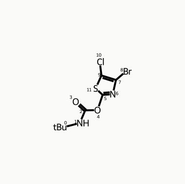 CC(C)(C)NC(=O)Oc1nc(Br)c(Cl)s1